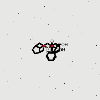 O=C(NCC1C2CCC1CN(Cc1ccccc1)C2)[C@@](O)(CO)c1ccccc1